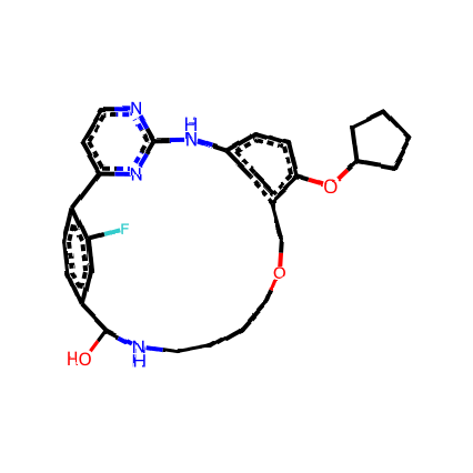 OC1NCCCCOCc2cc(ccc2OC2CCCC2)Nc2nccc(n2)-c2ccc1cc2F